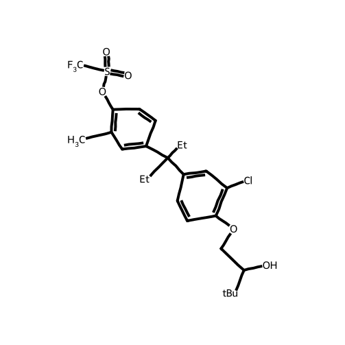 CCC(CC)(c1ccc(OS(=O)(=O)C(F)(F)F)c(C)c1)c1ccc(OCC(O)C(C)(C)C)c(Cl)c1